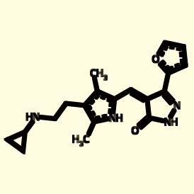 Cc1[nH]c(C=C2C(=O)NN=C2c2ccco2)c(C)c1CCNC1CC1